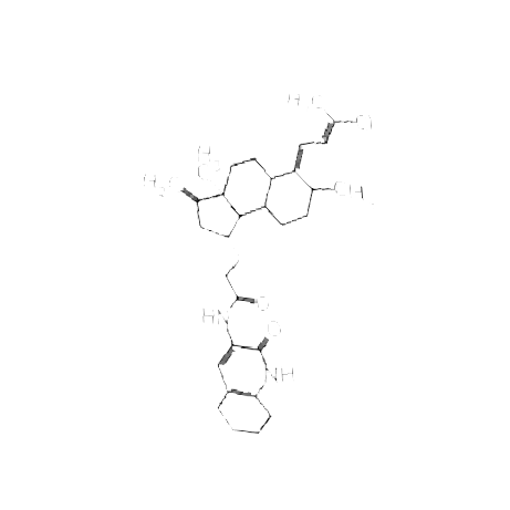 C=C1C[C@@H](CCC(=O)Nc2cc3c([nH]c2=O)CCCC3)C2C3CCC(C)/C(=C\C=C(/C)Cl)C3CC[C@]12C